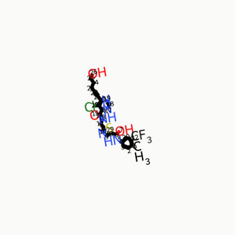 Cc1ccc(NC(O)c2cnc(CNC(=O)c3ncnc(C#CCCCO)c3Cl)s2)cc1C(F)(F)F